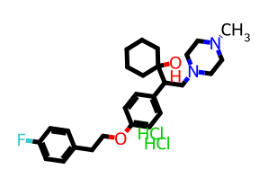 CN1CCN(CC(c2ccc(OCCc3ccc(F)cc3)cc2)C2(O)CCCCC2)CC1.Cl.Cl